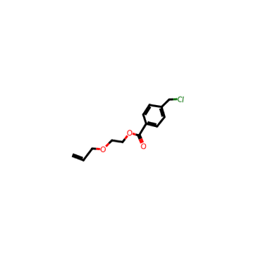 C=CCOCCOC(=O)c1ccc(CCl)cc1